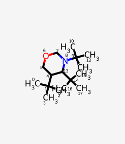 CC(C)(C)C1COCN(C(C)(C)C)C1C(C)(C)C